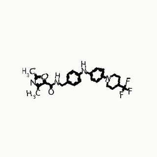 Cc1nc(C)c(C(=O)NCc2ccc(Nc3ccc(N4CCC(C(F)(F)F)CC4)cc3)cc2)o1